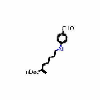 C=C(CCCCCCCCCC)CCCCCNc1ccc(C=O)cc1